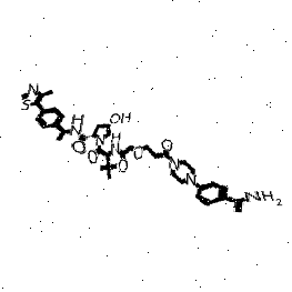 Cc1ncsc1-c1ccc(C(C)NC(=O)[C@@H]2C[C@@H](O)CN2C(=O)C(NC(=O)COCCC(=O)N2CCN(c3ccc(C(C)N)cc3)CC2)C(C)(C)C)cc1